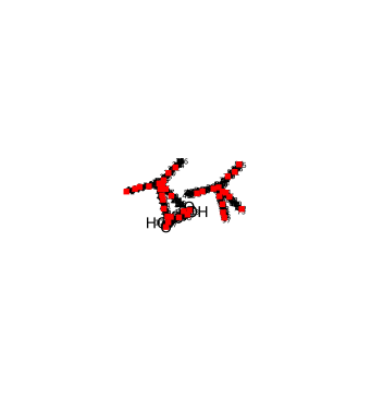 CCCCCCCCCCCC[N+](CCCCCCCCCCCC)(CCCCCCCCCCCC)CCCCCCCCCCCC.CCCCCCCCCCCC[N+](CCCCCCCCCCCC)(CCCCCCCCCCCC)CCCCCCCCCCCC.O=C(O)c1ccc(SSc2ccc(C(=O)O)cc2)cc1